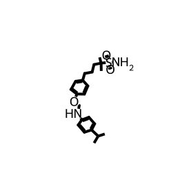 CC(C)c1ccc(NCOc2ccc(CCCC(C)(C)S(N)(=O)=O)cc2)cc1